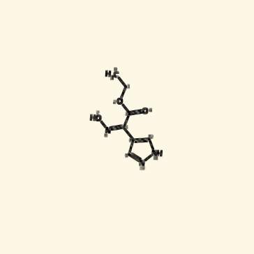 CCOC(=O)C(=NO)c1cn[nH]c1